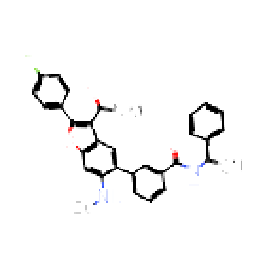 CCNc1cc2oc(-c3ccc(F)cc3)c(C(=O)NC)c2cc1-c1cccc(C(=O)NC(C#N)c2ccccc2)c1